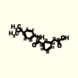 CC(C)c1ccc(NC(=O)c2cccc(CC(=O)O)c2)cc1